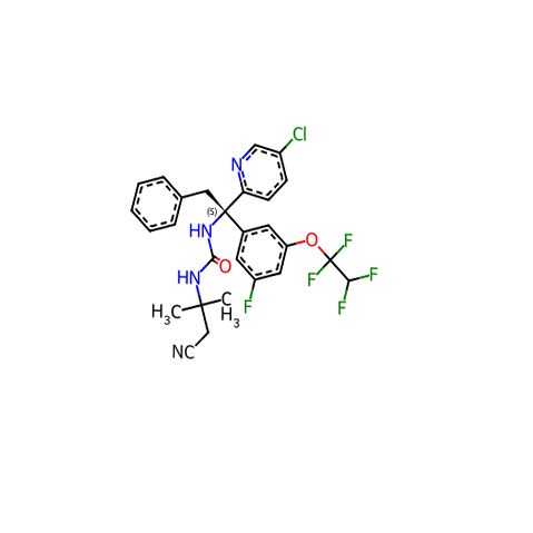 CC(C)(CC#N)NC(=O)N[C@@](Cc1ccccc1)(c1cc(F)cc(OC(F)(F)C(F)F)c1)c1ccc(Cl)cn1